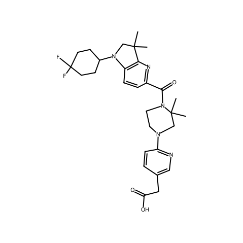 CC1(C)CN(C2CCC(F)(F)CC2)c2ccc(C(=O)N3CCN(c4ccc(CC(=O)O)cn4)CC3(C)C)nc21